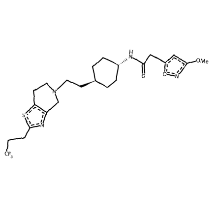 COc1cc(CC(=O)N[C@H]2CC[C@H](CCN3CCc4sc(CCC(F)(F)F)nc4C3)CC2)on1